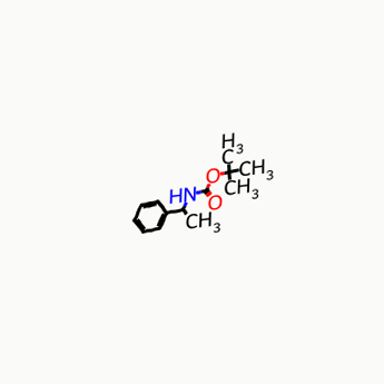 CC(NC(=O)OC(C)(C)C)c1ccccc1